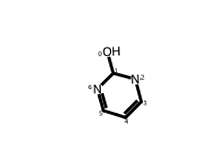 OC1[N]C=CC=N1